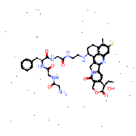 CC[C@@]1(O)C(=O)OCc2c1cc1n(c2=O)Cc2c-1nc1cc(F)c(C)c3c1c2[C@@H](NCCNC(=O)CNC(=O)[C@H](Cc1ccccc1)NC(=O)CNC(=O)CN)CC3